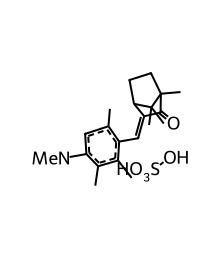 CNc1cc(C)c(C=C2C(=O)C3(C)CCC2C3(C)C)c(C)c1C.O=S(=O)(O)O